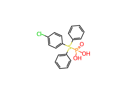 O=P(O)(O)S(c1ccccc1)(c1ccccc1)c1ccc(Cl)cc1